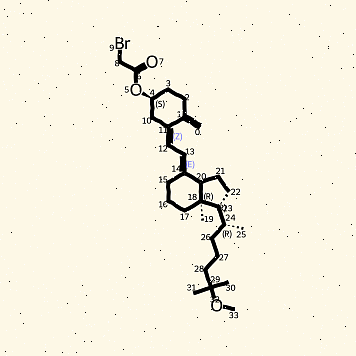 C=C1CC[C@H](OC(=O)CBr)C/C1=C/C=C1\CCC[C@@]2(C)C1CC[C@@H]2[C@H](C)CCCC(C)(C)OC